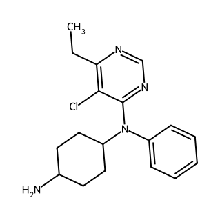 CCc1ncnc(N(c2ccccc2)C2CCC(N)CC2)c1Cl